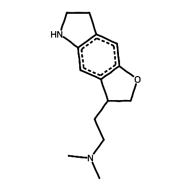 CN(C)CCC1COc2cc3c(cc21)NCC3